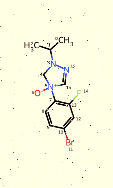 CC(C)N1C[N+]([O-])(c2ccc(Br)cc2F)C=N1